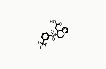 O=C(O)CC1c2cccn2CCN1S(=O)(=O)c1cccc(C(F)(F)F)c1